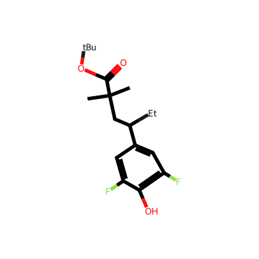 CCC(CC(C)(C)C(=O)OC(C)(C)C)c1cc(F)c(O)c(F)c1